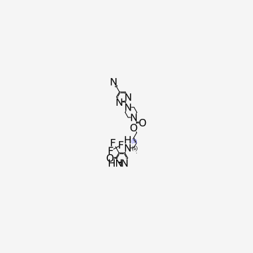 C[C@@H](/C=C/COC(=O)N1CCN(c2ncc(C#N)cn2)CC1)Nc1cn[nH]c(=O)c1C(F)(F)F